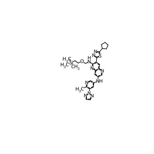 Cc1ncc(Nc2cnc3cc(-c4nnc(C5CCCC5)s4)c(NCOCC[Si](C)(C)C)nc3c2)cc1-n1nccn1